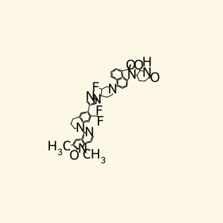 Cc1cc2c(N3CCCc4cc(-c5cnn(C6CCN(c7ccc8c9c(cccc79)C(=O)N8C7CCC(=O)NC7=O)CC6F)c5)c(C(F)F)cc43)nccc2n(C)c1=O